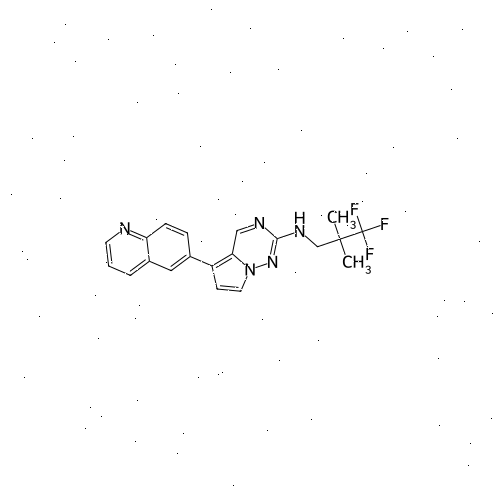 CC(C)(CNc1ncc2c(-c3ccc4ncccc4c3)ccn2n1)C(F)(F)F